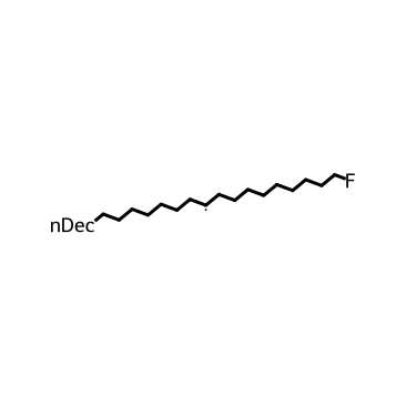 CCCCCCCCCCCCCCCCC[CH]CCCCCCCCCF